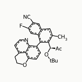 CC(=O)[C@@H](OC(C)(C)C)c1c(C)cc2cc(C#N)c(F)cc2c1-c1ccc2c3c(ccnc13)CCO2